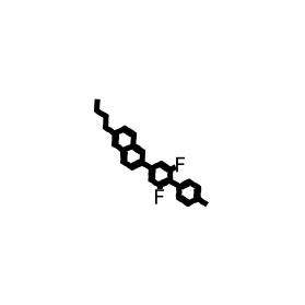 CCCCc1ccc2cc(-c3cc(F)c(-c4ccc(C)cc4)c(F)c3)ccc2c1